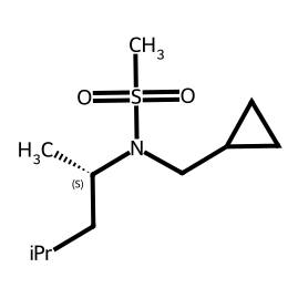 CC(C)C[C@H](C)N(CC1CC1)S(C)(=O)=O